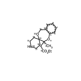 CCOC(=O)CC1(C)Oc2ccccc2COC12CCNCC2